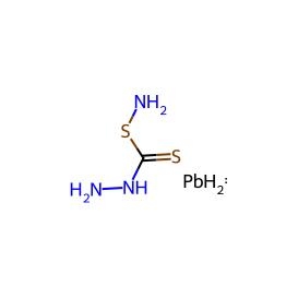 NNC(=S)SN.[PbH2]